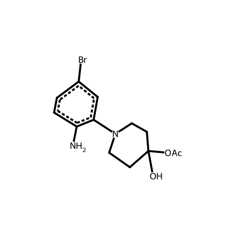 CC(=O)OC1(O)CCN(c2cc(Br)ccc2N)CC1